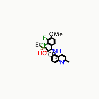 CCSCC(O)(C(Nc1cccc2nc(C)ccc12)c1ccc(OC)c(F)c1Cl)C(F)(F)F